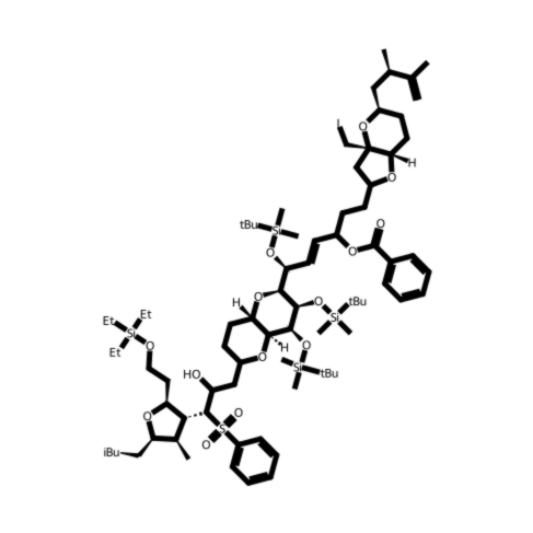 C=C(C)[C@H](C)C[C@H]1CC[C@@H]2OC(CCC(/C=C/[C@H](O[Si](C)(C)C(C)(C)C)[C@@H]3O[C@H]4CCC(CC(O)C([C@@H]5[C@@H](C)[C@@H](C[C@H](C)CC)O[C@H]5CCO[Si](CC)(CC)CC)S(=O)(=O)c5ccccc5)O[C@@H]4[C@H](O[Si](C)(C)C(C)(C)C)[C@@H]3O[Si](C)(C)C(C)(C)C)OC(=O)c3ccccc3)C[C@]2(CI)O1